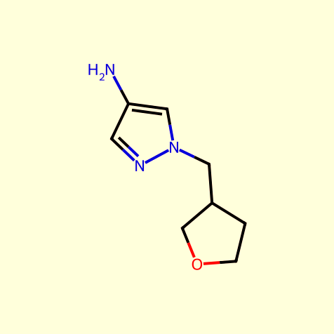 Nc1cnn(CC2CCOC2)c1